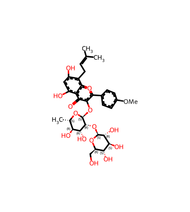 COc1ccc(-c2oc3c(CC=C(C)C)c(O)cc(O)c3c(=O)c2O[C@@H]2O[C@@H](C)[C@H](O)[C@@H](O)[C@H]2O[C@@H]2O[C@H](CO)[C@@H](O)[C@H](O)[C@H]2O)cc1